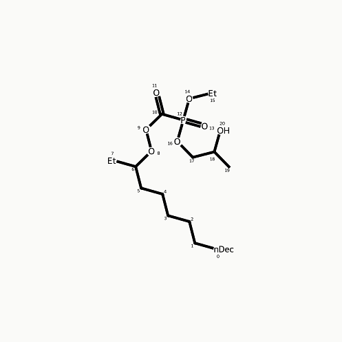 CCCCCCCCCCCCCCCC(CC)OOC(=O)P(=O)(OCC)OCC(C)O